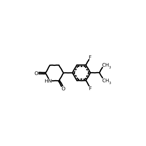 CC(C)c1c(F)cc(C2CCC(=O)NC2=O)cc1F